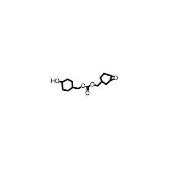 O=C(OCC1CCC(O)CC1)OCC1CCC2OC2C1